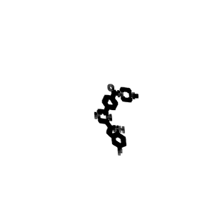 CN1CCN(C(=O)c2ccc(-c3cncc(-c4cc5cc(F)ccc5[nH]4)n3)cc2)CC1